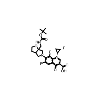 CC(C)(C)OC(=O)NCC12CN(c3c(F)cc4c(=O)c(C(=O)O)cn([C@@H]5C[C@@H]5F)c4c3F)CC1CCO2